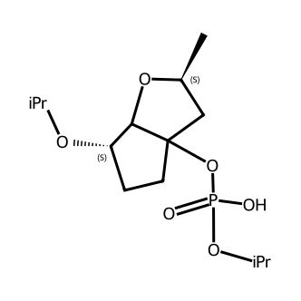 CC(C)O[C@H]1CCC2(OP(=O)(O)OC(C)C)C[C@H](C)OC12